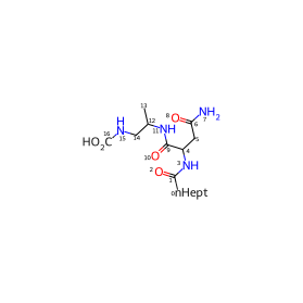 CCCCCCCC(=O)NC(CC(N)=O)C(=O)NC(C)CNC(=O)O